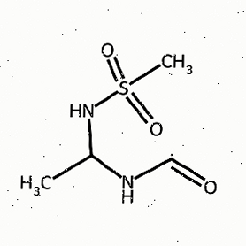 CC(N[C]=O)NS(C)(=O)=O